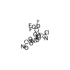 CN(C)C(=O)c1cccc(S(=O)(=O)N2CCO[C@H](C(=O)O[C@@H](Cc3c(Cl)cncc3Cl)c3ccc(OC(F)F)c(OCC4CC4)c3)C2)c1